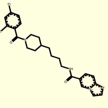 O=C(NCCCCC1CCN(C(=O)c2ccc(Cl)cc2Cl)CC1)c1ccc2nccn2c1